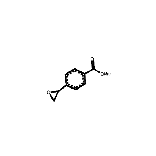 COC(=O)c1ccc(C2CO2)cc1